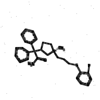 C[N@@+]1(CCCSc2ccccc2F)CCC(C(C(N)=O)(c2ccccc2)c2ccccc2)C1